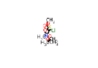 CCOC(=O)c1sc(Cl)c2c1OCC(N(C)C(=O)OC(C)(C)C)C2